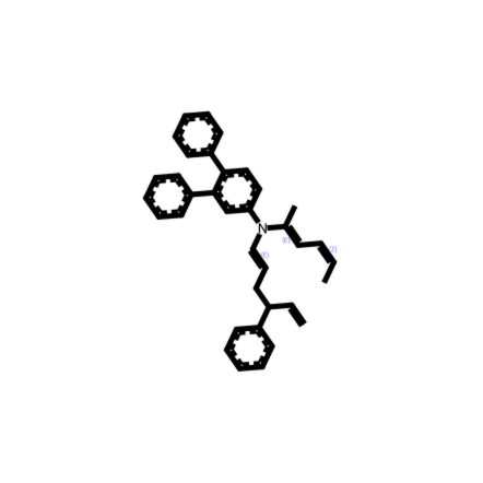 C=CC(C/C=C/N(/C(C)=C/C=C\C)c1ccc(-c2ccccc2)c(-c2ccccc2)c1)c1ccccc1